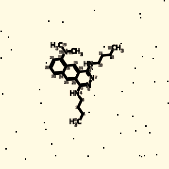 CCCCNc1nnc(NCCCC)c2cc3c(N(C)C)cccc3cc12